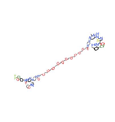 Cc1nc(Nc2ncc(C(=O)Nc3c(C)cccc3Cl)s2)cc(N2CCN(C(=O)CCOCCOCCOCCOCCOCCOCCOCCOCCOCCOCCNC(=O)C3CCN(c4ncc(C(=O)Nc5ccc(OC(F)(F)Cl)cc5)cc4-c4ccnn4C4CCCCO4)CC3)CC2)n1